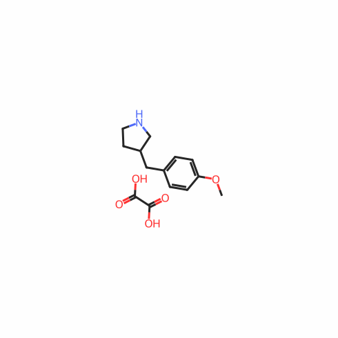 COc1ccc(CC2CCNC2)cc1.O=C(O)C(=O)O